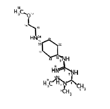 CNN(C)C(C)NC(=N)N[C@H]1CC[C@H](NCCOC)CC1